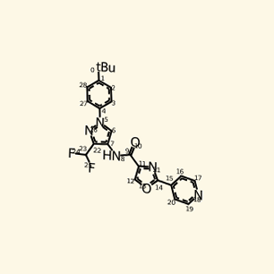 CC(C)(C)c1ccc(-n2cc(NC(=O)c3coc(-c4ccncc4)n3)c(C(F)F)n2)cc1